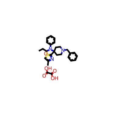 CCC(=O)N(c1ccccc1)C1(c2nc(C)cs2)CCN(Cc2ccccc2)CC1.O=C(O)C(=O)O